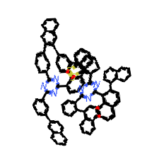 c1cc(-c2ccc3ccccc3c2)cc(-c2nc(-c3cccc(-c4cc5ccccc5cc4-c4ccc5sc6c(-c7nc(-c8ccccc8-c8cccc9ccccc89)nc(-c8c(-c9cccc%10ccccc9%10)ccc9ccccc89)n7)cccc6c5c4)c3)nc(-c3cccc4c3sc3ccccc34)n2)c1